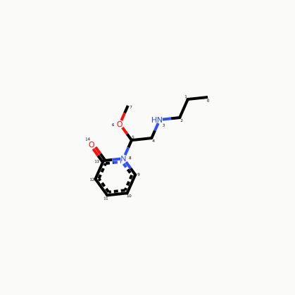 CCCNCC(OC)n1ccccc1=O